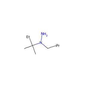 CCC(C)(C)N(N)CC(C)C